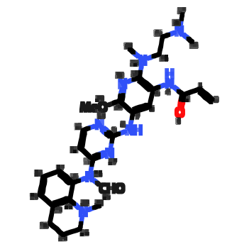 C=CC(=O)Nc1cc(Nc2nccc(N(C=O)c3cccc4c3N(C)CCC4)n2)c(OC)nc1N(C)CCN(C)C